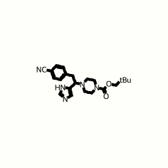 CC(C)(C)COC(=O)N1CCN(C(Cc2ccc(C#N)cc2)c2cnc[nH]2)CC1